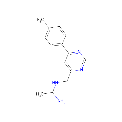 CC(N)NCc1cc(-c2ccc(C(F)(F)F)cc2)ncn1